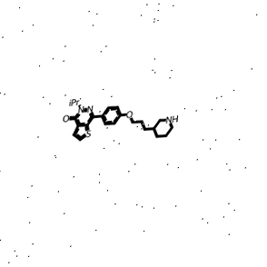 CC(C)n1nc(-c2ccc(OCCCC3CCCNC3)cc2)c2sccc2c1=O